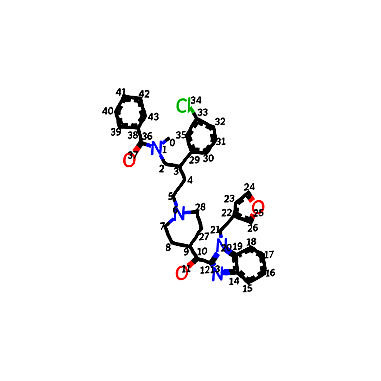 CN(CC(CCN1CCC(C(=O)c2nc3ccccc3n2Cc2ccoc2)CC1)c1cccc(Cl)c1)C(=O)c1ccccc1